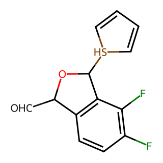 O=CC1OC([SH]2C=CC=C2)c2c1ccc(F)c2F